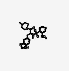 CC1CCN(C(=O)C(Cc2ccc3[nH]cnc3c2)NS(=O)(=O)c2ccccc2[N+](=O)[O-])CC1